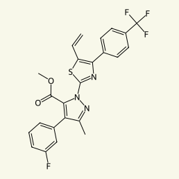 C=Cc1sc(-n2nc(C)c(-c3cccc(F)c3)c2C(=O)OC)nc1-c1ccc(C(F)(F)F)cc1